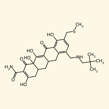 CSCc1cc(CNCC(C)(C)C)c2c(c1O)C(=O)C1=C(O)C3(O)C(=O)C(C(N)=O)=C(O)CC3CC1C2